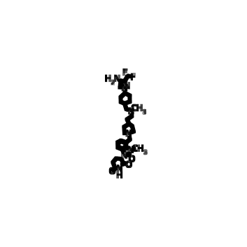 CN(CCC1CCN(Cc2cccc3c2n(C)c(=O)n3C2CCC(=O)NC2=O)CC1)CC1CCC(n2cc(N)c(C(F)F)n2)CC1